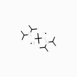 CC(C)N(C(C)C)[SiH](C)C(C)(C)[SiH](C)N(C(C)C)C(C)C